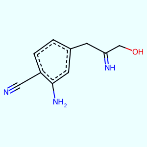 N#Cc1ccc(CC(=N)CO)cc1N